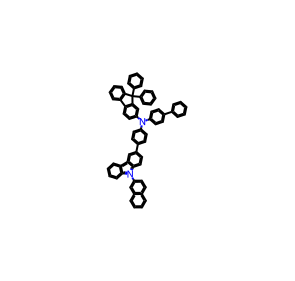 c1ccc(-c2ccc(N(c3ccc(-c4ccc5c(c4)c4ccccc4n5-c4ccc5ccccc5c4)cc3)c3ccc4c(c3)C(c3ccccc3)(c3ccccc3)c3ccccc3-4)cc2)cc1